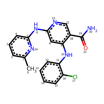 Cc1cccc(Nc2cc(Nc3ccccc3Cl)c(C(N)=O)cn2)n1